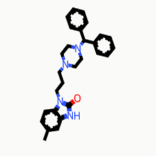 Cc1ccc2c(c1)[nH]c(=O)n2CCCN1CCN(C(c2ccccc2)c2ccccc2)CC1